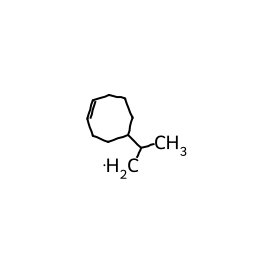 [CH2]C(C)C1CCC=CCCC1